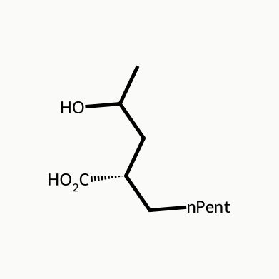 CCCCCC[C@@H](CC(C)O)C(=O)O